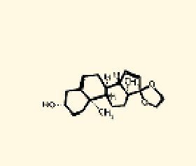 C[C@]12CC[C@H](O)CC1=CC[C@@H]1[C@@H]2CC[C@@]2(C)[C@H]1C=CC21OCCO1